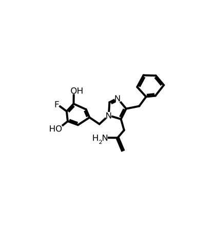 C=C(N)Cc1c(Cc2ccccc2)ncn1Cc1cc(O)c(F)c(O)c1